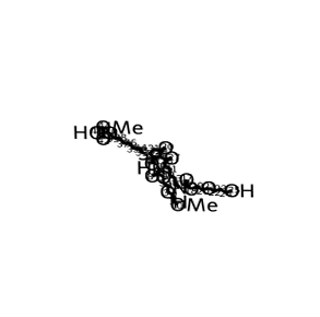 COCCOCCOC(=O)NC(CCCCNC(=O)OCCOCCCO)C(=O)C1C(=O)CC(SCCCCCCOP(=O)(O)OC)C1=O